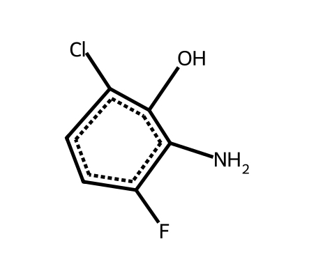 Nc1c(F)ccc(Cl)c1O